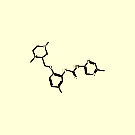 Cc1ccc(OCC2CN(C)CCN2C)c(NC(=O)Nc2cnc(C)cn2)c1